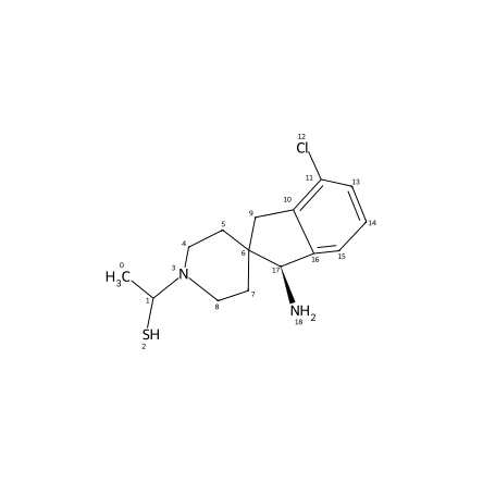 CC(S)N1CCC2(CC1)Cc1c(Cl)cccc1[C@H]2N